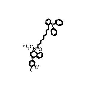 CN(C(=O)CCCCCCCCc1ccccc1P(c1ccccc1)c1ccccc1)[C@H]1CC[C@@H](c2ccc(Cl)c(Cl)c2)c2ccccc21